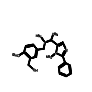 CCCCC(c1cnc(-c2ccccc2)n1CCCC)N(CCCC)Cc1ccc(OC)c(CO)c1